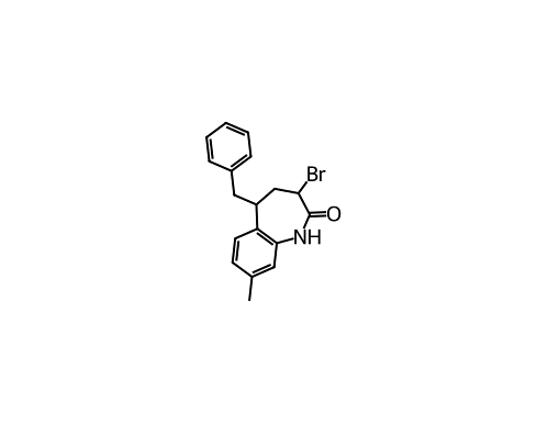 Cc1ccc2c(c1)NC(=O)C(Br)CC2Cc1ccccc1